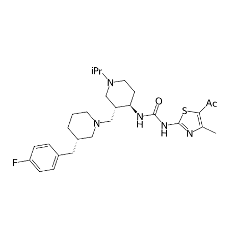 CC(=O)c1sc(NC(=O)N[C@@H]2CCN(C(C)C)C[C@H]2CN2CCC[C@@H](Cc3ccc(F)cc3)C2)nc1C